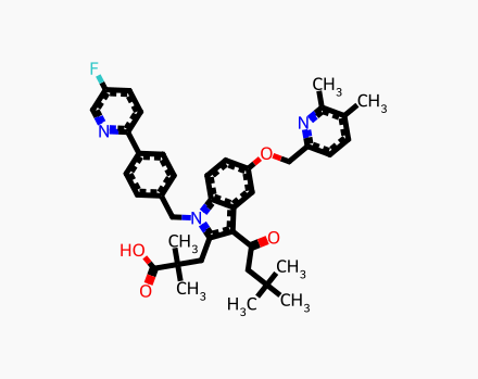 Cc1ccc(COc2ccc3c(c2)c(C(=O)CC(C)(C)C)c(CC(C)(C)C(=O)O)n3Cc2ccc(-c3ccc(F)cn3)cc2)nc1C